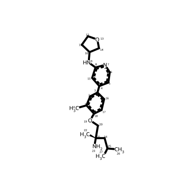 Cc1cc(-c2ccnc(NC3CCOC3)c2)ccc1OC[C@@](C)(N)CC(C)C